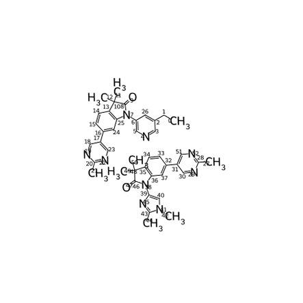 CCc1cncc(N2C(=O)C(C)(C)c3ccc(-c4cnc(C)nc4)cc32)c1.Cc1ncc(-c2ccc3c(c2)N(c2cn(C)c(C)n2)C(=O)C3(C)C)cn1